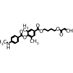 C=CC(=O)OCCCCOC(=O)c1cc(C)c(OC(=O)c2ccc(NC)cc2)c(C)c1